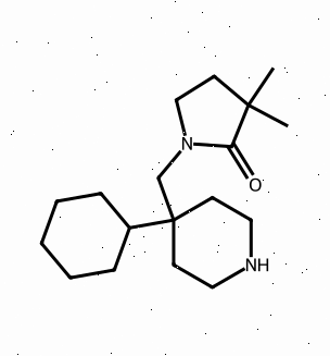 CC1(C)CCN(CC2(C3CCCCC3)CCNCC2)C1=O